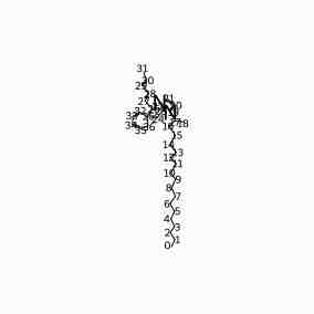 CCCCCCCCCCCCCCCCCC(C)n1ccnc1CC1(CCCCCC)C=CC=CC1